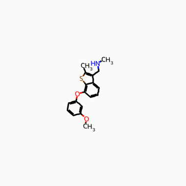 CNCc1c(C)sc2c(Oc3cccc(OC)c3)cccc12